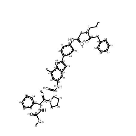 CCCN(CC(=O)Nc1ccc(-c2cc3cc(NC(=O)[C@@H]4CCCN4C(=O)[C@H](NC(=O)OC)c4ccccc4)cc(C)c3o2)cc1)C(=O)Cc1ccccc1